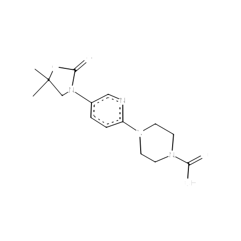 CC1(C)CN(c2ccc(N3CCN(C(=O)O)CC3)nc2)C(=O)O1